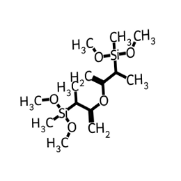 C=C(OC(=C)C(C)[Si](C)(OC)OC)C(C)[Si](C)(OC)OC